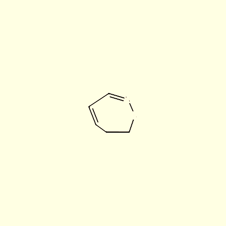 C1=CCCSN=C1